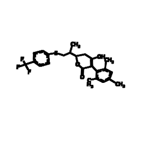 Cc1cc(C)c(C2=C(O)CC(C(C)CSc3ccc(C(F)(F)F)cc3)OC2=O)c(C)c1